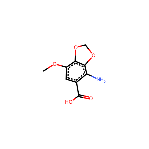 COc1cc(C(=O)O)c(N)c2c1OCO2